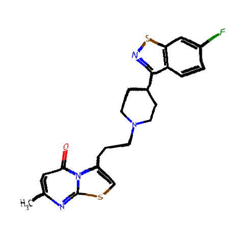 Cc1cc(=O)n2c(CCN3CCC(c4nsc5cc(F)ccc45)CC3)csc2n1